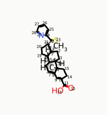 C[C@]12CC[C@H]3[C@@H](CC=C4C=C(C(=O)O)CC[C@@]43C)[C@@H]1CC[C@@H]2C(=S)c1ccccn1